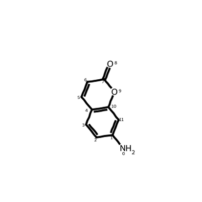 Nc1ccc2ccc(=O)oc2c1